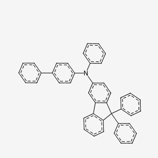 c1ccc(-c2ccc(N(c3ccccc3)c3ccc4c(c3)-c3ccccc3C4(c3ccccc3)c3ccccc3)cc2)cc1